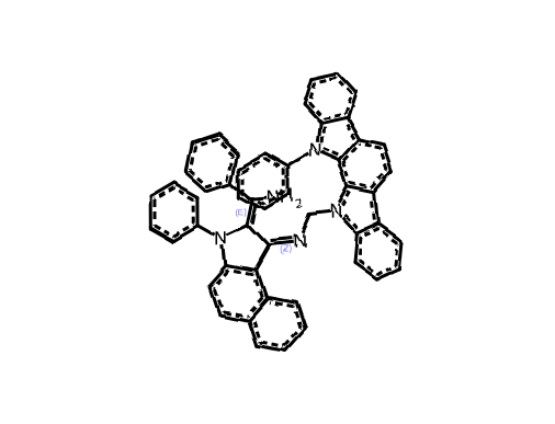 N/C(=C1\C(=N/Cn2c3ccccc3c3ccc4c5ccccc5n(-c5ccccc5)c4c32)c2c(ccc3ccccc23)N1c1ccccc1)c1ccccc1